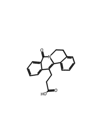 O=C(O)CCc1c2n(c(=O)c3ccccc13)CCc1ccccc1-2